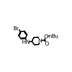 CCCCOC(=O)N1CCC(Nc2ccc(Br)cc2)CC1